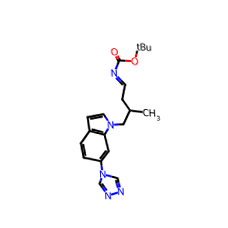 CC(CC=NC(=O)OC(C)(C)C)Cn1ccc2ccc(-n3cnnc3)cc21